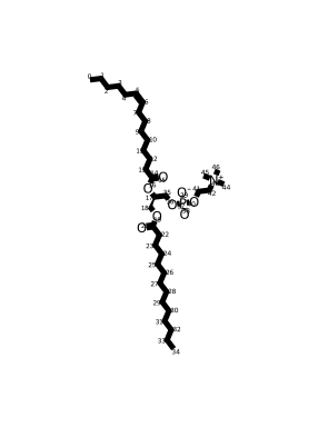 CCCCC/C=C\CCCCCCCC(=O)O[C@H](COC(=O)CCCCCCCCCCCCC)COP(=O)([O-])OCC[N+](C)(C)C